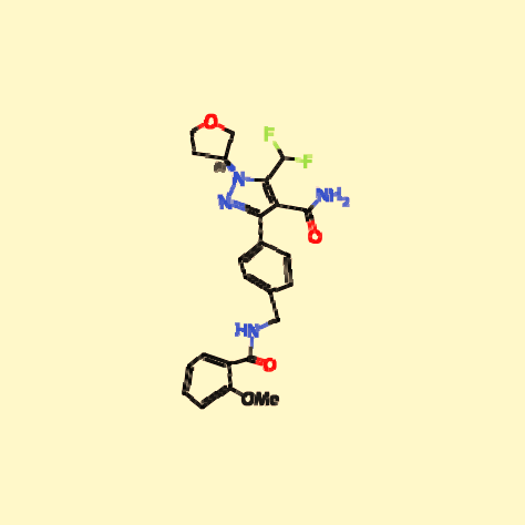 COc1ccccc1C(=O)NCc1ccc(-c2nn([C@H]3CCOC3)c(C(F)F)c2C(N)=O)cc1